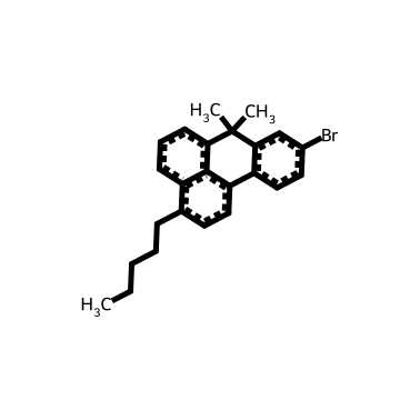 CCCCCc1ccc2c3c(cccc13)C(C)(C)c1cc(Br)ccc1-2